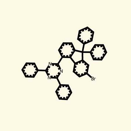 Brc1ccc2c(c1)C(c1ccccc1)(c1ccccc1)c1cccc(-c3nc(-c4ccccc4)nc(-c4ccccc4)n3)c1-2